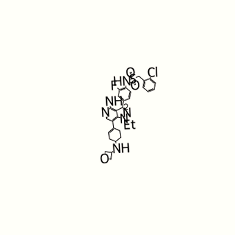 CCn1nc(-c2ccc(NS(=O)(=O)Cc3ccccc3Cl)c(F)c2)c2c(N)ncc(C3=CC[C@H](NC4COC4)CC3)c21